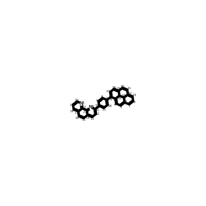 C1=CC2=CC=C3C(c4ccc(-c5ccc6ccc7cccnc7c6n5)cc4)=CC=C4C=CC(=C1)C2C43